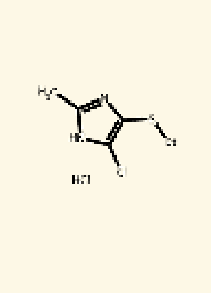 CCSc1nc(C)[nH]c1Cl.Cl